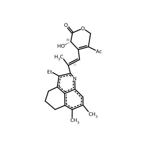 CCc1c(/C(C)=C/C2=C(C(C)=O)COC(=O)[C@H]2O)nc2cc(C)c(C)c3c2c1CCC3